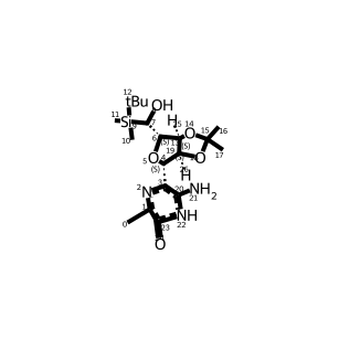 Cc1nc([C@@H]2O[C@H](C(O)[Si](C)(C)C(C)(C)C)[C@H]3OC(C)(C)O[C@H]32)c(N)[nH]c1=O